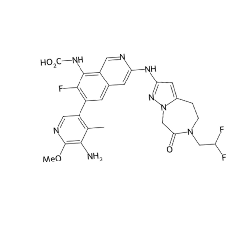 COc1ncc(-c2cc3cc(Nc4cc5n(n4)CC(=O)N(CC(F)F)CC5)ncc3c(NC(=O)O)c2F)c(C)c1N